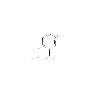 CC1CC(=O)c2cc(F)ccc2N1